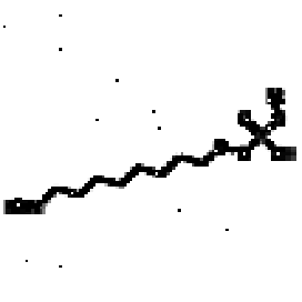 CCCCCCCCCCCCCCCCCCOOP(=O)(O)OCC